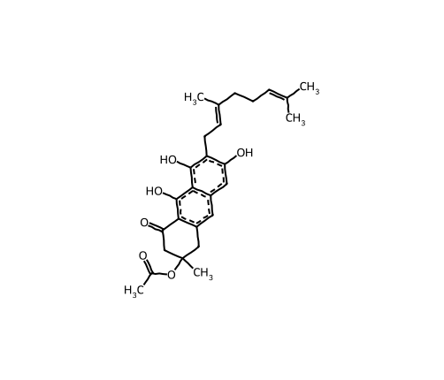 CC(=O)OC1(C)CC(=O)c2c(cc3cc(O)c(C/C=C(\C)CCC=C(C)C)c(O)c3c2O)C1